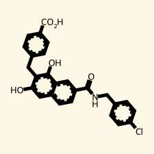 O=C(O)c1ccc(Cc2c(O)cc3ccc(C(=O)NCc4ccc(Cl)cc4)cc3c2O)cc1